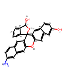 Nc1ccc2cc3c(cc2c1)Oc1cc2cc(O)ccc2cc1C31OC(O)c2ccccc21